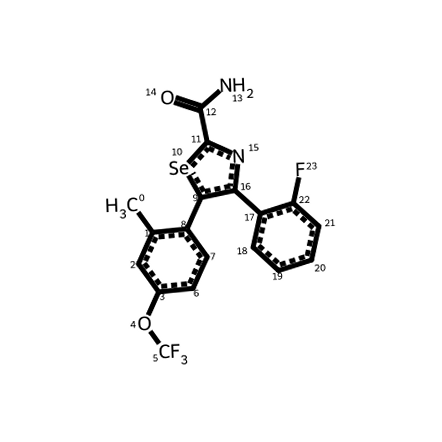 Cc1cc(OC(F)(F)F)ccc1-c1[se]c(C(N)=O)nc1-c1ccccc1F